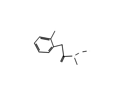 CCON(C)C(=O)Cc1ccccc1Cl